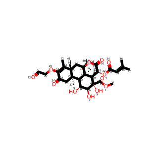 COC(=O)[C@@]1(O)[C@@H](O)[C@H](O)C2[C@@]3(C)[C@@H](C[C@H]4C(C)=C(OCC=O)C(=O)C[C@]24C)OC(=O)[C@H](OC(=O)C=C(C)C)[C@@H]13